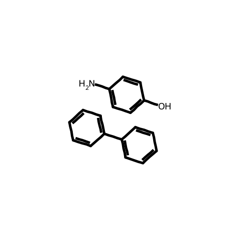 Nc1ccc(O)cc1.c1ccc(-c2ccccc2)cc1